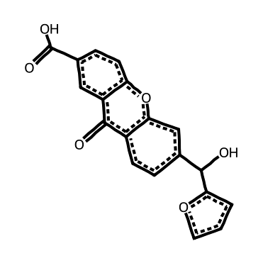 O=C(O)c1ccc2oc3cc(C(O)c4ccco4)ccc3c(=O)c2c1